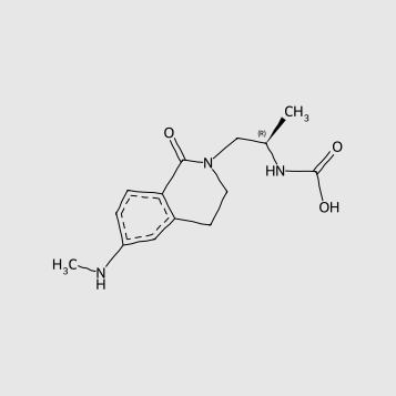 CNc1ccc2c(c1)CCN(C[C@@H](C)NC(=O)O)C2=O